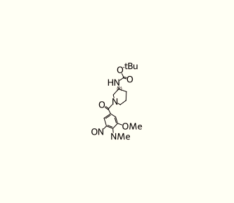 CNc1c(N=O)cc(C(=O)N2CCC[C@@H](NC(=O)OC(C)(C)C)C2)cc1OC